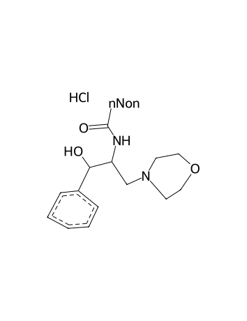 CCCCCCCCCC(=O)NC(CN1CCOCC1)C(O)c1ccccc1.Cl